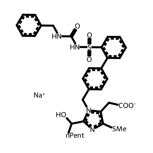 CCCCCC(O)c1nc(SC)c(CC(=O)[O-])n1Cc1ccc(-c2ccccc2S(=O)(=O)NC(=O)NCc2ccccc2)cc1.[Na+]